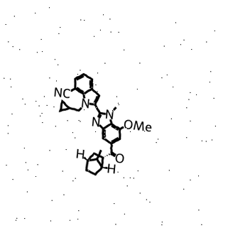 COc1cc(C(=O)[C@H]2C[C@H]3CC[C@@H]2C3C)cc2nc(-c3cc4cccc(C#N)c4n3CC3CC3)n(C)c12